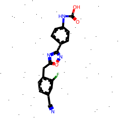 N#Cc1ccc(Cc2nc(-c3ccc(NC(=O)O)cc3)no2)c(F)c1